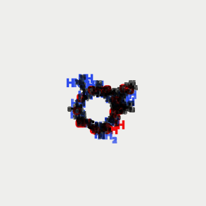 CC[C@H](C)C1NC(=O)[C@@H](CCCNC(=N)N)NC(=O)[C@H](CC(C)C)NC(=O)[C@H]([C@H](O)C(C)C)NC(=O)[C@@H](NC(=O)[C@H](CC(C)C)NC(=O)[C@@H](NC(=O)OC(C)(C)C)[C@@H](C)CC)[C@@H](c2ccccc2)OC(=O)[C@H](CO)NC(=O)[C@H]([C@H](O)C(N)=O)NC(=O)CNC(=O)C([C@H](C)O)NC1=O